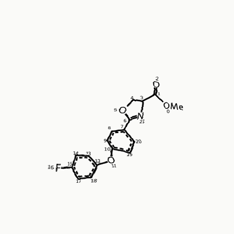 COC(=O)C1COC(c2ccc(Oc3ccc(F)cc3)cc2)=N1